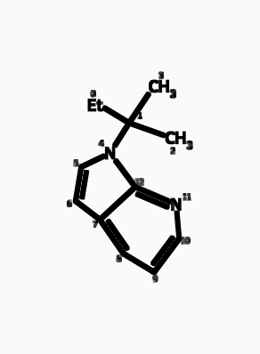 CCC(C)(C)n1ccc2cccnc21